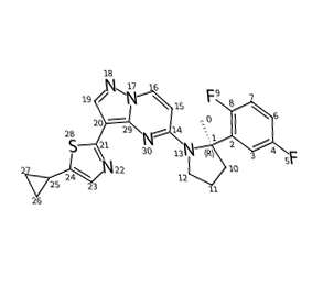 C[C@]1(c2cc(F)ccc2F)CCCN1c1ccn2ncc(-c3ncc(C4CC4)s3)c2n1